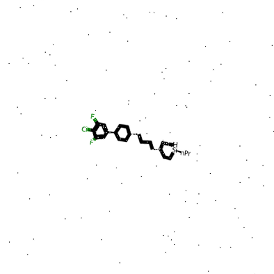 CCC[Si@H]1CC[C@H](CCCC[C@H]2CC[C@H](c3cc(F)c(Cl)c(F)c3)CC2)CC1